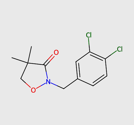 CC1(C)CON(Cc2ccc(Cl)c(Cl)c2)C1=O